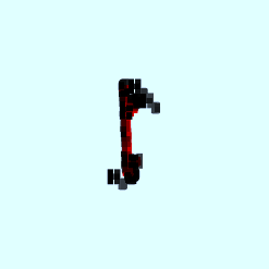 CCCCCCCCCCN(CCCCCCCCCCCCCCCCCCCN(Cc1ccc(OC)cc1)c1ccc(I)cc1)Cc1ccc(OC)cc1